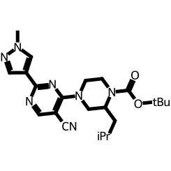 CC(C)CC1CN(c2nc(-c3cnn(C)c3)ncc2C#N)CCN1C(=O)OC(C)(C)C